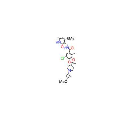 CO[C@H]1C[C@@H](N2CCC([C@]3(C)Oc4c(Cl)cc(C(=O)NCc5c(SC)cc(C)[nH]c5=O)c(C)c4O3)CC2)C1